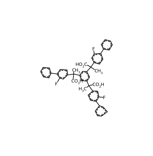 CC(C(=O)O)(c1cc(C(C)(C(=O)O)c2ccc(-c3ccccc3)c(F)c2)cc(C(C)(C(=O)O)c2ccc(-c3ccccc3)c(F)c2)c1)c1ccc(-c2ccccc2)c(F)c1